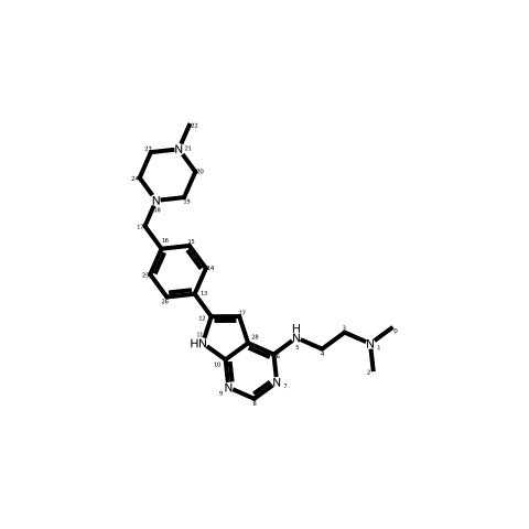 CN(C)CCNc1ncnc2[nH]c(-c3ccc(CN4CCN(C)CC4)cc3)cc12